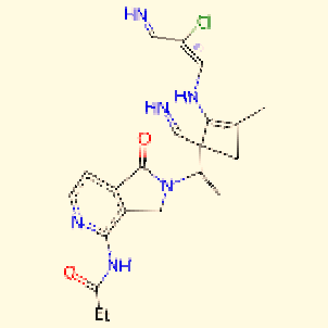 CCC(=O)Nc1nccc2c1CN(C(C)C1(C=N)CC(C)=C1N/C=C(/Cl)C=N)C2=O